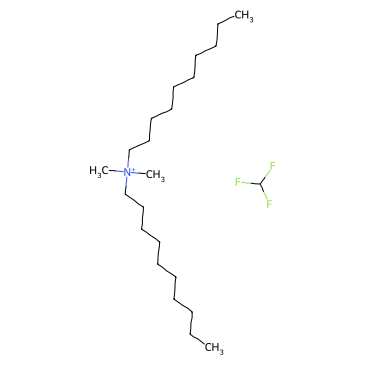 CCCCCCCCCC[N+](C)(C)CCCCCCCCCC.FC(F)F